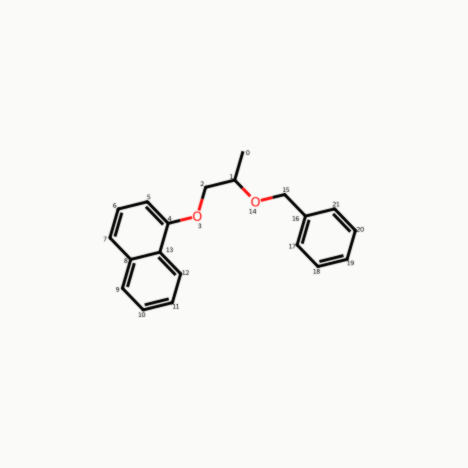 CC(COc1cccc2ccccc12)OCc1ccccc1